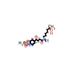 CCN(CCCCCC(C)O)C(=O)CCC(=O)c1ccc(NS(C)(=O)=O)cc1